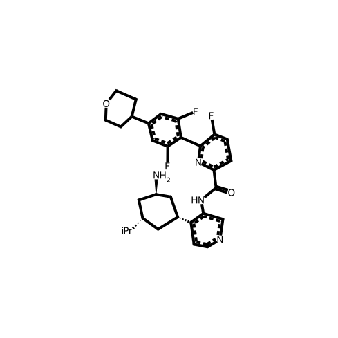 CC(C)[C@@H]1C[C@@H](N)C[C@H](c2ccncc2NC(=O)c2ccc(F)c(-c3c(F)cc(C4CCOCC4)cc3F)n2)C1